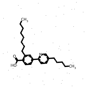 CCCCCCCCc1cc(-c2ccc(CCCCC)cn2)ccc1C(=O)O